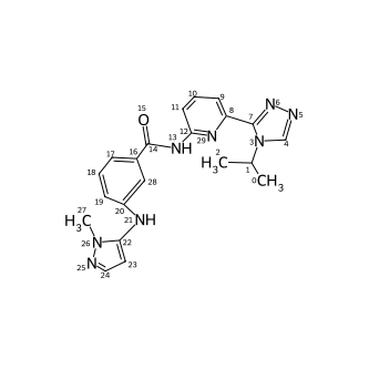 CC(C)n1cnnc1-c1cccc(NC(=O)c2cccc(Nc3ccnn3C)c2)n1